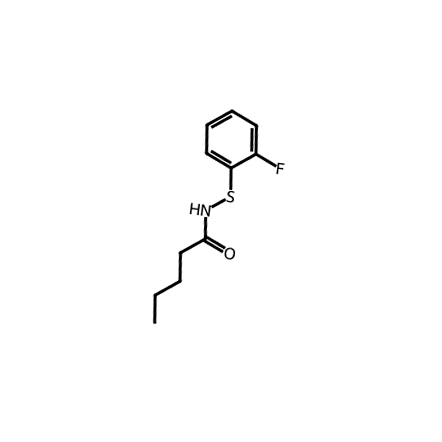 CCCCC(=O)NSc1ccccc1F